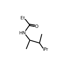 CCC(=O)NC(C)C(C)C(C)C